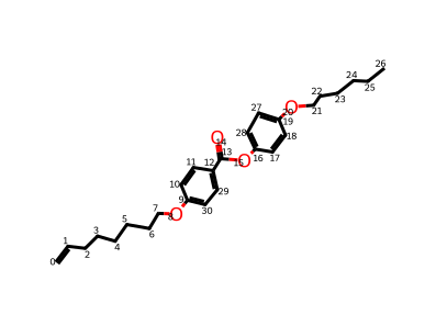 C=CCCCCCCOc1ccc(C(=O)Oc2ccc(OCCCCCC)cc2)cc1